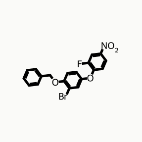 O=[N+]([O-])c1ccc(Oc2ccc(OCc3ccccc3)c(Br)c2)c(F)c1